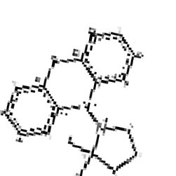 CC1(C)CCCN1N1c2ccccc2Cc2ccccc21